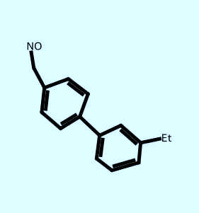 CCc1cccc(-c2ccc(CN=O)cc2)c1